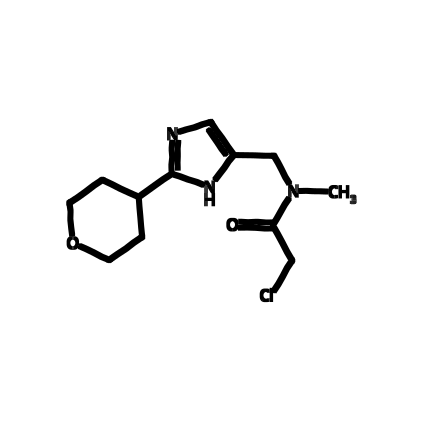 CN(Cc1cnc(C2CCOCC2)[nH]1)C(=O)CCl